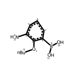 CCCCOc1c(N)cccc1B(O)O